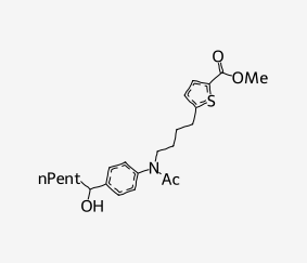 CCCCCC(O)c1ccc(N(CCCCc2ccc(C(=O)OC)s2)C(C)=O)cc1